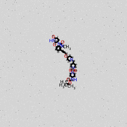 Cn1c(=O)n(C2CCC(=O)NC2=O)c2cccc(C#CCOC3CCN(CC4CCN(S(=O)(=O)N5CCC(NC(=O)OC(C)(C)C)CC5)CC4)CC3)c21